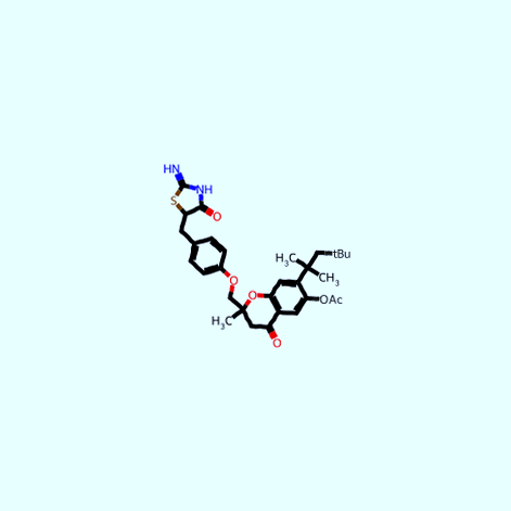 CC(=O)Oc1cc2c(cc1C(C)(C)CC(C)(C)C)OC(C)(COc1ccc(CC3SC(=N)NC3=O)cc1)CC2=O